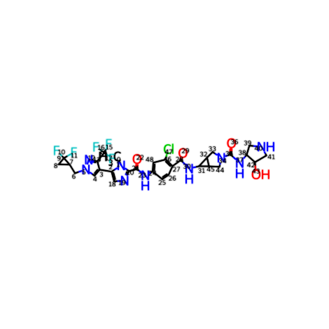 Cn1c(-c2cn(CC3CC3(F)F)nc2C(F)(F)F)cnc1C(=O)Nc1ccc(C(=O)NC2C3CN(C(=O)NC4CNCC4O)CC32)c(Cl)c1